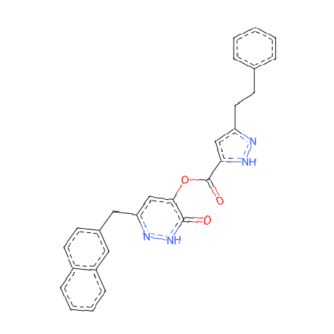 O=C(Oc1cc(Cc2ccc3ccccc3c2)n[nH]c1=O)c1cc(CCc2ccccc2)n[nH]1